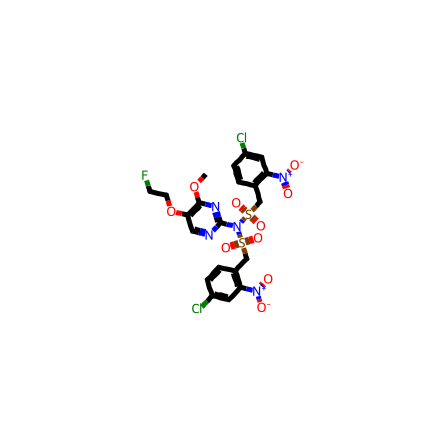 COc1nc(N(S(=O)(=O)Cc2ccc(Cl)cc2[N+](=O)[O-])S(=O)(=O)Cc2ccc(Cl)cc2[N+](=O)[O-])ncc1OCCF